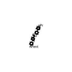 CCCCC[C@H]1CC[C@H](c2ccc(C(=O)O[C@H]3CC[C@H](c4ccc(CCC)cc4)CC3)cc2)CC1